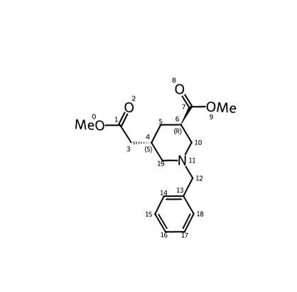 COC(=O)C[C@@H]1C[C@@H](C(=O)OC)CN(Cc2ccccc2)C1